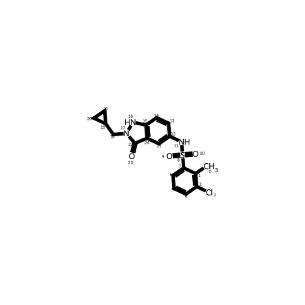 Cc1c(Cl)cccc1S(=O)(=O)Nc1ccc2[nH]n(CC3CC3)c(=O)c2c1